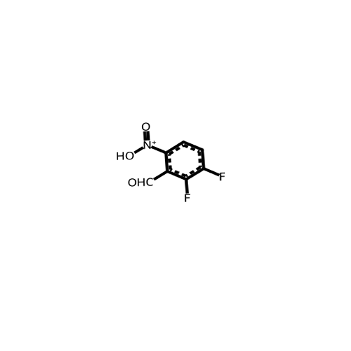 O=Cc1c([N+](=O)O)ccc(F)c1F